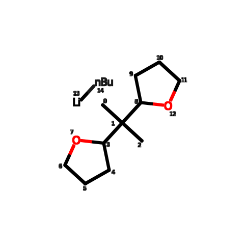 CC(C)(C1CCCO1)C1CCCO1.[Li][CH2]CCC